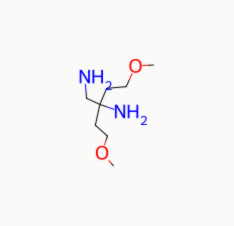 COCCC(N)(CN)CCOC